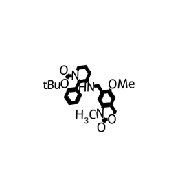 COc1cc2c(cc1CNC1CCCN(C(=O)OC(C)(C)C)C1c1ccccc1)N(C)C(=O)OC2